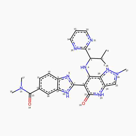 CC(C)C(Nc1c(-c2nc3ccc(C(=O)N(C)C)cc3[nH]2)c(=O)[nH]c2cn(C)nc12)c1ncccn1